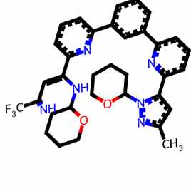 Cc1cc(-c2cccc(-c3cccc(-c4cccc(/C(=C/C(=N)C(F)(F)F)NC5CCCCO5)n4)c3)n2)n(C2CCCCO2)n1